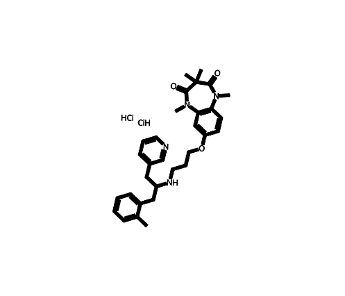 Cc1ccccc1CC(Cc1cccnc1)NCCCOc1ccc2c(c1)N(C)C(=O)C(C)(C)C(=O)N2C.Cl.Cl